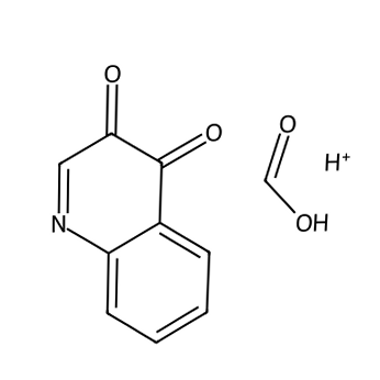 O=C1C=Nc2ccccc2C1=O.O=CO.[H+]